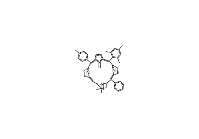 Cc1ccc(/C2=c3\cc/c([nH]3)=C(\c3c(C)cc(C)cc3C)C3=N/C(=C(/c4ccccc4)C4CC(C)(C)C(/C=C5/C=CC2=N5)N4)C=C3)cc1